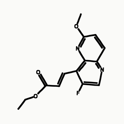 CCOC(=O)C=Cc1c(F)cnc2ccc(OC)nc12